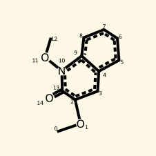 COc1cc2ccccc2n(OC)c1=O